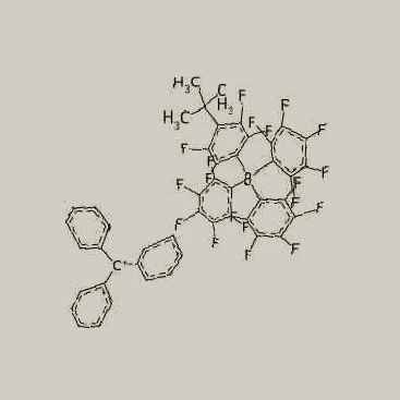 CC(C)(C)c1c(F)c(F)c([B-](c2c(F)c(F)c(F)c(F)c2F)(c2c(F)c(F)c(F)c(F)c2F)c2c(F)c(F)c(F)c(F)c2F)c(F)c1F.c1ccc([C+](c2ccccc2)c2ccccc2)cc1